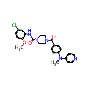 COc1ccc(Cl)cc1NC(=O)N1CCN(C(=O)c2ccc(N(C)c3ccncc3)cc2)CC1